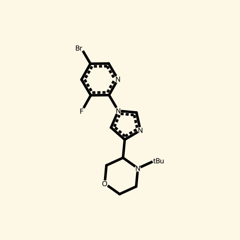 CC(C)(C)N1CCOCC1c1cn(-c2ncc(Br)cc2F)cn1